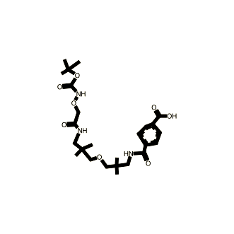 CC(C)(CNC(=O)CONC(=O)OC(C)(C)C)COCC(C)(C)CNC(=O)c1ccc(C(=O)O)cc1